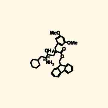 COc1cc(C[As](C[C@H](O)[C@@H](N)CC2CCCCC2)C(=O)OCC2c3ccccc3-c3ccccc32)cc(OC)c1